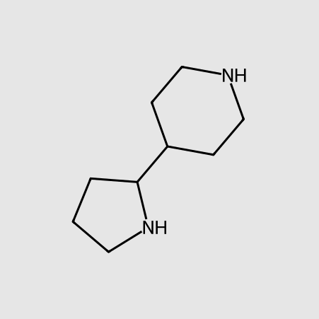 C1CNC(C2CCNCC2)C1